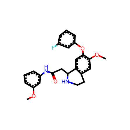 COc1cccc(NC(=O)CC2NCCc3cc(OC)c(Oc4cccc(F)c4)cc32)c1